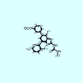 CCNC(=O)Nc1nc2c(F)c(-c3cncc(C(=O)[O-])c3)cc(-c3ncccc3F)c2s1.[Li+]